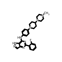 CN1CCN(C2CCN(c3ccc(Nc4nc(-c5ccccc5F)nc5cn[nH]c45)cc3)CC2)CC1